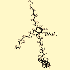 CCCCCCCCCc1cccc(OCCOCCOCCOS(=O)(=O)O)c1CCCCCCCCC.[NaH]